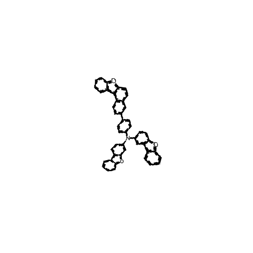 c1ccc2c(c1)oc1cc(N(c3ccc(-c4ccc5c(ccc6oc7ccccc7c65)c4)cc3)c3ccc4oc5ccccc5c4c3)ccc12